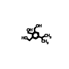 CC(C)c1cc(CO)c(CO)c(CO)c1